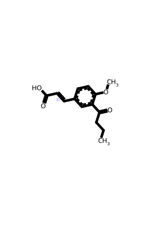 CCCC(=O)c1cc(/C=C/C(=O)O)ccc1OC